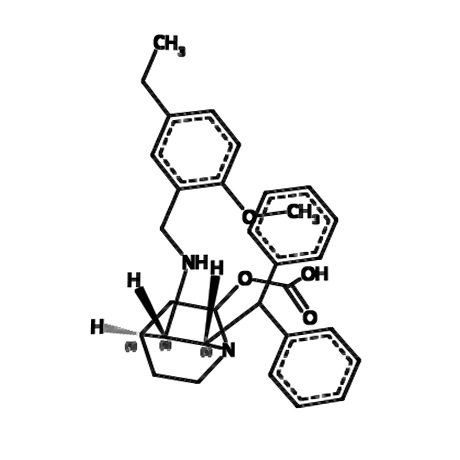 CCc1ccc(OC)c(CN[C@H]2[C@H]3CCN(C(OC(=O)O)C3)[C@H]2C(c2ccccc2)c2ccccc2)c1